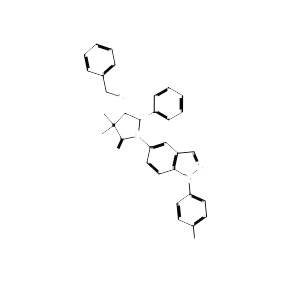 CC1(C)C(=O)N(c2ccc3c(cnn3-c3ccc(F)cc3)c2)[C@H](c2ccccc2)[C@H]1NCc1ccccc1